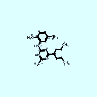 CCCC(CCC)c1nc(C)nc(Nc2cc(N)ccc2C)n1